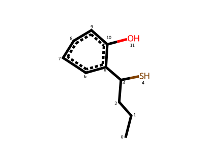 CCCC(S)c1ccccc1O